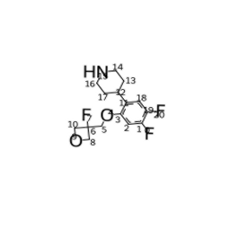 Fc1cc(OCC2(F)COC2)c(C2CCNCC2)cc1F